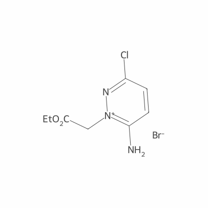 CCOC(=O)C[n+]1nc(Cl)ccc1N.[Br-]